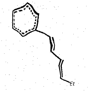 [CH2]C/C=C/C=C/c1ccccc1